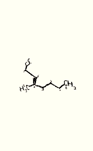 CCCCC(C)=CC[O]